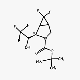 CC(C)(C)OC(=O)N1CC2C([C@@H]1C(O)C(F)(F)F)C2(F)F